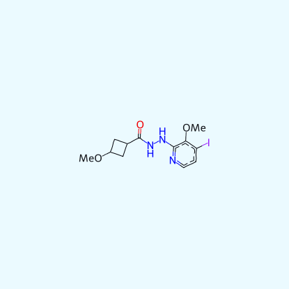 COc1c(I)ccnc1NNC(=O)C1CC(OC)C1